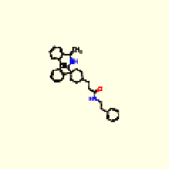 C=C(NCC1(c2ccccc2)CCC(CCC(=O)NCCc2ccccc2)CC1)c1ccccc1C